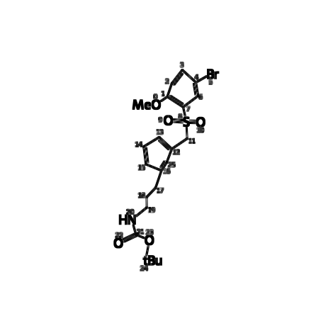 COc1ccc(Br)cc1S(=O)(=O)Cc1cccc(CCCNC(=O)OC(C)(C)C)c1